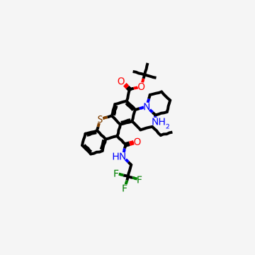 CCCCc1c2c(cc(C(=O)OC(C)(C)C)c1N1CCCCC1N)Sc1ccccc1C2C(=O)NCC(F)(F)F